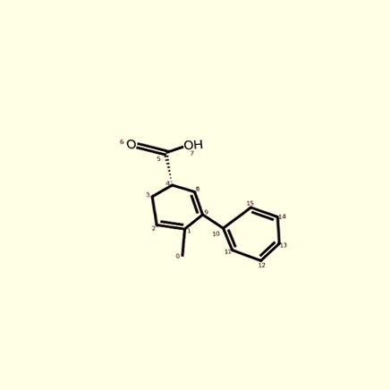 CC1=CC[C@H](C(=O)O)C=C1c1ccccc1